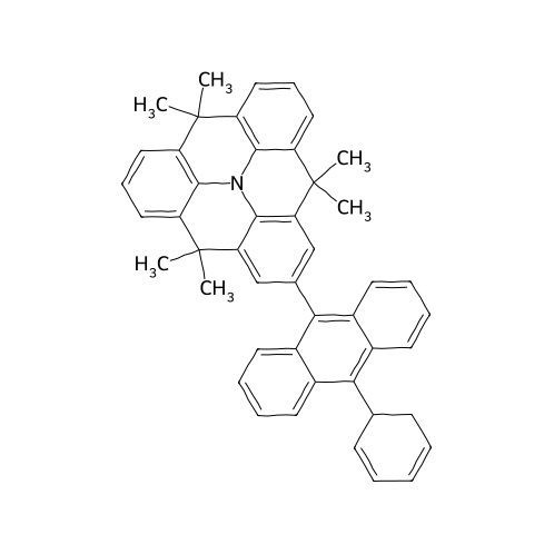 CC1(C)c2cccc3c2N2c4c1cccc4C(C)(C)c1cc(-c4c5ccccc5c(C5C=CC=CC5)c5ccccc45)cc(c12)C3(C)C